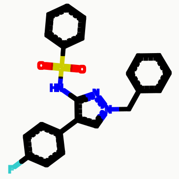 O=S(=O)(Nc1nn(Cc2ccccc2)cc1-c1ccc(F)cc1)c1ccccc1